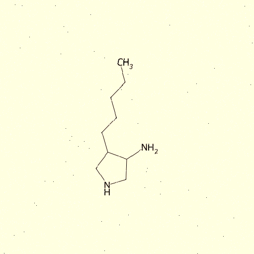 CCCCCC1CNCC1N